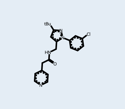 CC(C)(C)c1cc(CNC(=O)Cc2ccncc2)n(-c2cccc(Cl)c2)n1